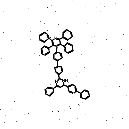 C1=C(c2ccccc2)N=C(c2ccc(-c3ccc(-c4c(-c5ccccc5)c(-c5ccccc5)nc(-c5ccccc5)c4-c4ccccc4)cc3)cc2)NC1c1ccc(-c2ccccc2)cc1